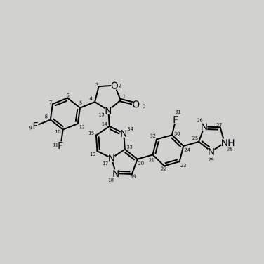 O=C1OCC(c2ccc(F)c(F)c2)N1c1ccn2ncc(-c3ccc(-c4nc[nH]n4)c(F)c3)c2n1